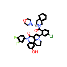 O=C(c1cc(-c2cc(Cl)ccc2C(=O)N2Cc3ccccc3C[C@H]2CN2CCOCC2)n2c1CCCC2)N(c1ccc(O)cc1)c1ccc(F)c(F)c1